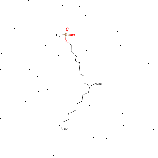 CCCCCCCCCCCCCCCCCCC(CCCCCCCCCC)CCCCCCCCOS(C)(=O)=O